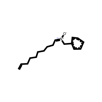 C=CCCCCCCC/C=[N+](/[O-])Cc1ccccc1